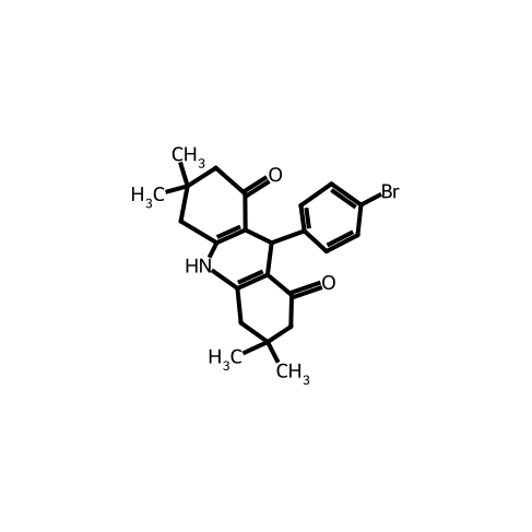 CC1(C)CC(=O)C2=C(C1)NC1=C(C(=O)CC(C)(C)C1)C2c1ccc(Br)cc1